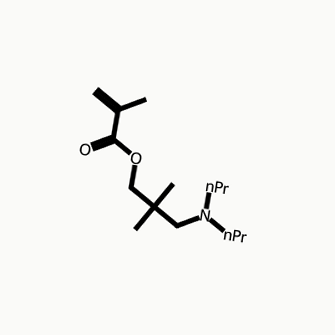 C=C(C)C(=O)OCC(C)(C)CN(CCC)CCC